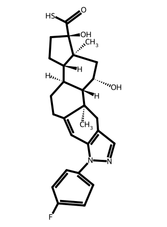 C[C@]12Cc3cnn(-c4ccc(F)cc4)c3C=C1CC[C@@H]1[C@@H]2[C@@H](O)C[C@@]2(C)[C@H]1CC[C@]2(O)C(=O)S